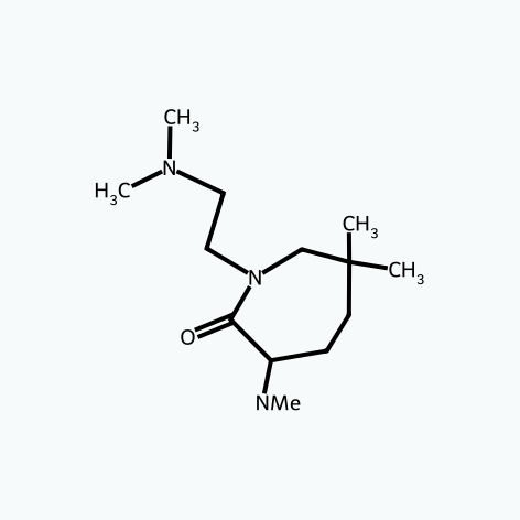 CNC1CCC(C)(C)CN(CCN(C)C)C1=O